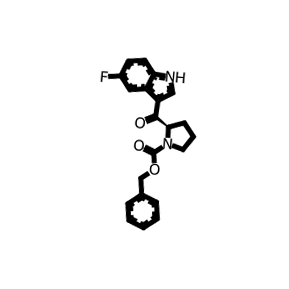 O=C(c1c[nH]c2ccc(F)cc12)[C@H]1CCCN1C(=O)OCc1ccccc1